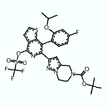 CC(C)Oc1cc(F)ccc1-c1c(-c2cc3n(n2)CCN(C(=O)OC(C)(C)C)C3)nc(OS(=O)(=O)C(F)(F)F)c2ccsc12